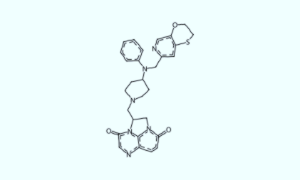 O=c1ccc2ncc(=O)n3c2n1CC3CN1CCC(N(Cc2cc3c(cn2)OCCS3)c2ccccc2)CC1